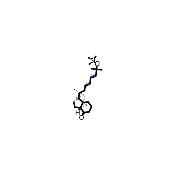 C[C@H](C/C=C/C=C/C(C)(C)O[Si](C)(C)C)[C@H]1CC[C@H]2C(=O)CCC[C@]12C